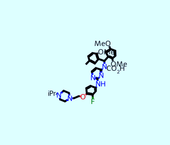 COc1ccc(OC)c(C(c2cc(C)ccc2OC)N(C(=O)O)c2ccnc(Nc3ccc(OCCN4CCN(C(C)C)CC4)c(F)c3)n2)c1